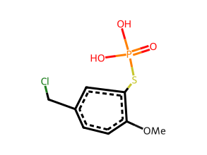 COc1ccc(CCl)cc1SP(=O)(O)O